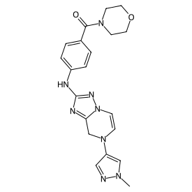 Cn1cc(N2C=Cn3nc(Nc4ccc(C(=O)N5CCOCC5)cc4)nc3C2)cn1